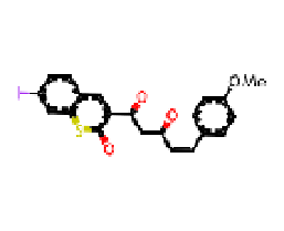 COc1ccc(/C=C\C(=O)CC(=O)c2cc3ccc(I)cc3sc2=O)cc1